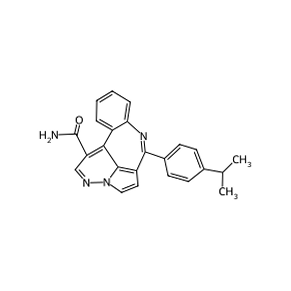 CC(C)c1ccc(C2=Nc3ccccc3-c3c(C(N)=O)cnn4ccc2c34)cc1